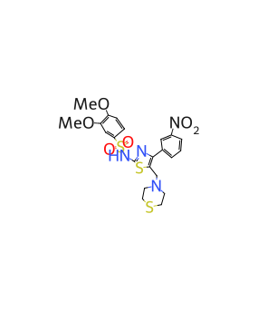 COc1ccc(S(=O)(=O)Nc2nc(-c3cccc([N+](=O)[O-])c3)c(CN3CCSCC3)s2)cc1OC